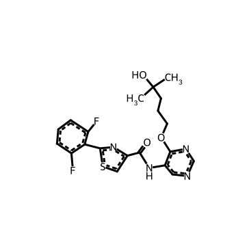 CC(C)(O)CCCOc1ncncc1NC(=O)c1csc(-c2c(F)cccc2F)n1